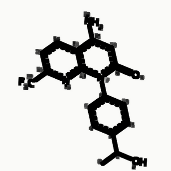 CC(O)c1ccc(-n2c(=O)cc(N)c3ccc(C(F)(F)F)nc32)cc1